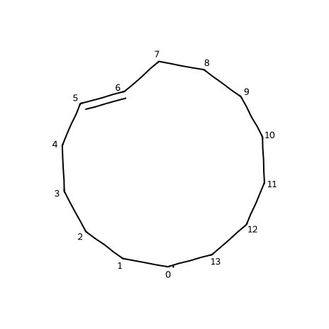 [CH]1CCCC/C=C/CCCCCCC1